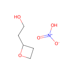 O=[N+]([O-])O.OCCC1CCO1